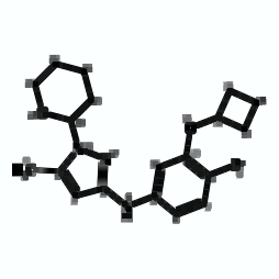 Cc1cc(Nc2ccc(Br)c(OC3CCC3)c2)nn1C1CCCCO1